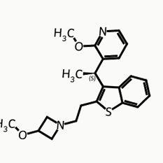 COc1ncccc1[C@H](C)c1c(CCN2CC(OC)C2)sc2ccccc12